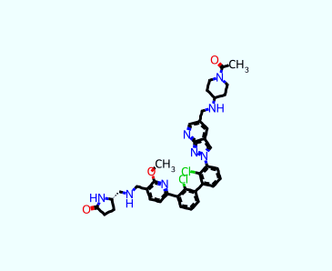 COc1nc(-c2cccc(-c3cccc(-n4cc5cc(CNC6CCN(C(C)=O)CC6)cnc5n4)c3Cl)c2Cl)ccc1CNC[C@@H]1CCC(=O)N1